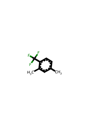 Cc1[c]c(C)c(C(F)(F)F)cc1